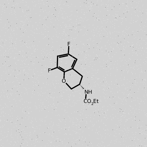 CCOC(=O)N[C@@H]1COc2c(F)cc(F)cc2C1